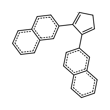 [C]1=C(c2ccc3ccccc3c2)C(c2ccc3ccccc3c2)=CC1